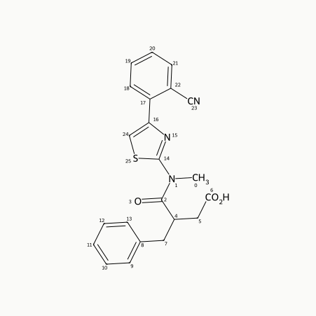 CN(C(=O)C(CC(=O)O)Cc1ccccc1)c1nc(-c2ccccc2C#N)cs1